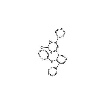 Clc1nc(-c2ccccc2)nc(-c2cccc3c2B(c2ccccc2)c2ccccc2-3)n1